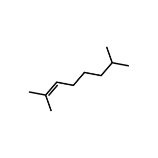 CC(C)=CCCCC(C)C